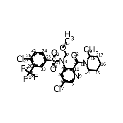 COCN(c1cc(Cl)cnc1C(=O)N1CCCCC1C)S(=O)(=O)c1ccc(Cl)c(C(F)(F)F)c1